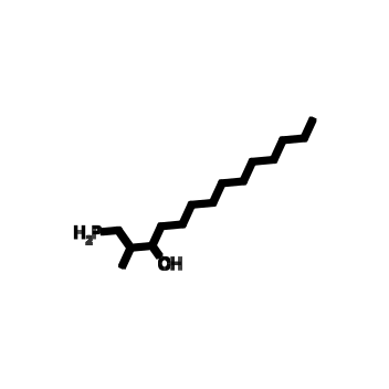 CCCCCCCCCCCC(O)C(C)CP